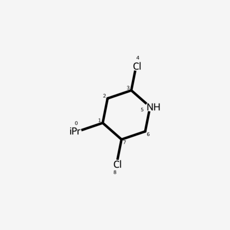 CC(C)C1CC(Cl)NCC1Cl